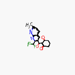 Cc1ccc2cc(C(=O)C3C(=O)CCCC3=O)c(C(F)F)nc2n1